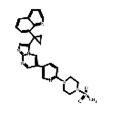 CS(=O)(=O)N1CCN(c2ccc(-c3cnc4ncc(C5(c6cccc7cccnc67)CC5)n4c3)cn2)CC1